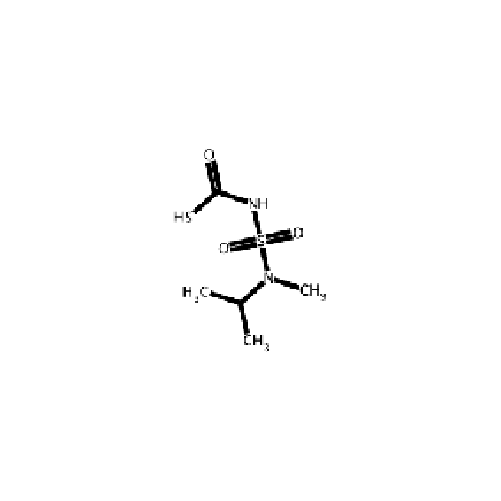 CC(C)N(C)S(=O)(=O)NC(=O)S